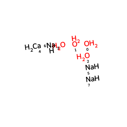 O.O.O.O.[CaH2].[NaH].[NaH].[NaH]